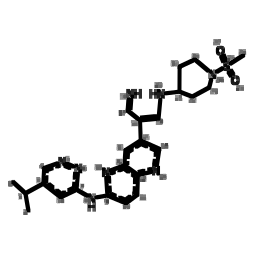 CC(C)c1cnnc(Nc2ccc3ncc(/C(C=N)=C/NC4CCN(S(C)(=O)=O)CC4)cc3n2)c1